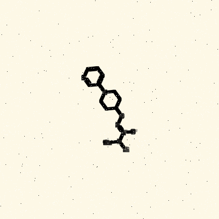 CCN(/[N+]([O-])=N/OC1CCN(c2cccnc2)CC1)C(C)(C)C